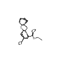 CCOC(=O)c1cc(Cl)cc2c1Cc1ccccc1S2